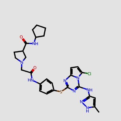 Cc1cc(Nc2nc(Sc3ccc(NC(=O)CN4CCC(C(=O)NC5CCCC5)C4)cc3)nc3ccc(Cl)n23)n[nH]1